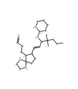 CCCC(C)(C)C(C=CC1CCC2(OCCO2)C1CCC=O)OC1CCCCO1